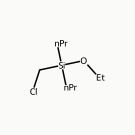 CCC[Si](CCl)(CCC)OCC